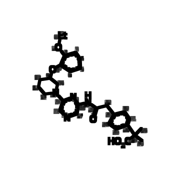 CCOc1ccccc1OC1CCCN(c2cncc(NC(=O)Cc3ccc(C(C)(C)C(=O)O)cc3)n2)C1